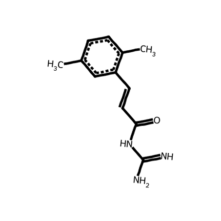 Cc1ccc(C)c(C=CC(=O)NC(=N)N)c1